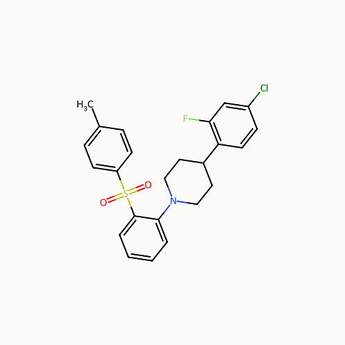 Cc1ccc(S(=O)(=O)c2ccccc2N2CCC(c3ccc(Cl)cc3F)CC2)cc1